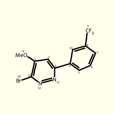 COc1cc(-c2cccc(C(F)(F)F)c2)nnc1Br